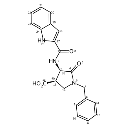 O=C(N[C@H]1C(=O)N(Cc2ccccc2)C[C@H]1C(=O)O)c1cc2ccccc2[nH]1